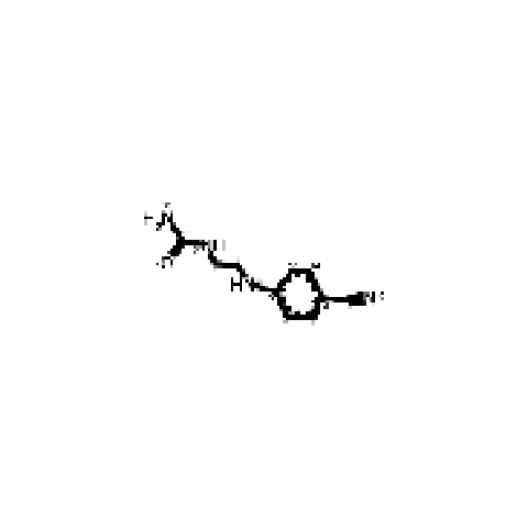 N#Cc1ccc(NCCNC(N)=O)cc1